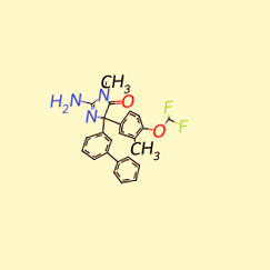 Cc1cc(C2(c3cccc(-c4ccccc4)c3)N=C(N)N(C)C2=O)ccc1OC(F)F